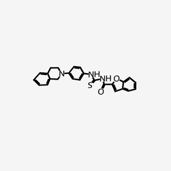 O=C(NC(=S)Nc1ccc(N2CCc3ccccc3C2)cc1)c1cc2ccccc2o1